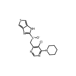 [O-][S+](Cc1ncnc(N2CCCCC2)c1Cl)c1nc2cscc2[nH]1